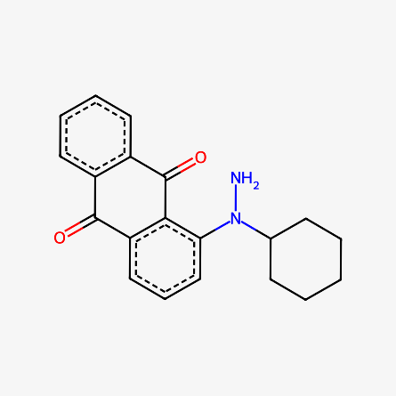 NN(c1cccc2c1C(=O)c1ccccc1C2=O)C1CCCCC1